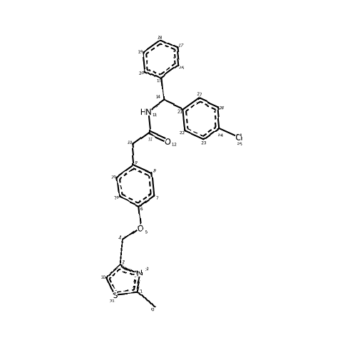 Cc1nc(COc2ccc(CC(=O)NC(c3ccccc3)c3ccc(Cl)cc3)cc2)cs1